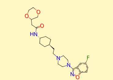 O=C(CC1COCCO1)N[C@H]1CC[C@H](CCN2CCN(c3noc4ccc(F)cc34)CC2)CC1